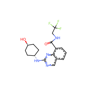 O=C(NCC(F)(F)F)c1cccc2cnc(N[C@H]3CC[C@H](O)CC3)nc12